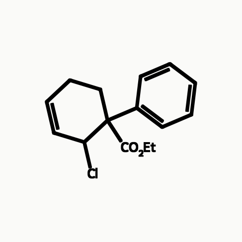 CCOC(=O)C1(c2ccccc2)CCC=CC1Cl